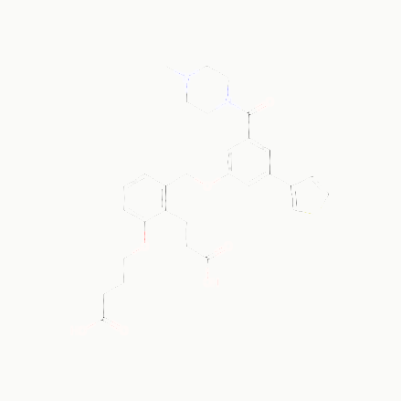 CN1CCN(C(=O)c2cc(OCc3cccc(OCCCC(=O)O)c3CCC(=O)O)cc(-c3ccsc3)c2)CC1